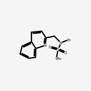 CC(C)N(Cc1ccc2ccccc2n1)S(=O)(=O)C(C)(C)C